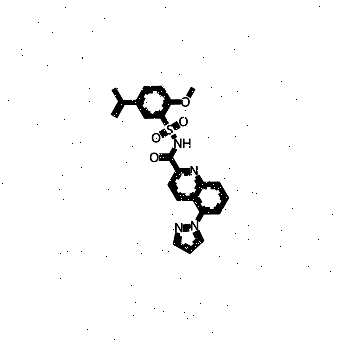 C=C(C)c1ccc(OC)c(S(=O)(=O)NC(=O)c2ccc3c(-n4cccn4)cccc3n2)c1